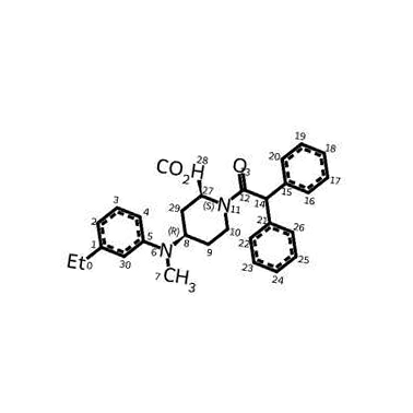 CCc1cccc(N(C)[C@@H]2CCN(C(=O)C(c3ccccc3)c3ccccc3)[C@H](C(=O)O)C2)c1